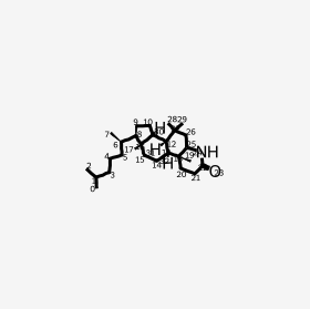 CC(C)CCC[C@@H](C)[C@H]1CC[C@H]2[C@H]3[C@H](CC[C@]12C)[C@@]1(C)CCC(=O)NC1CC3(C)C